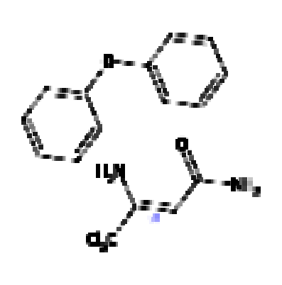 NC(=O)/C=C(\N)C(Cl)(Cl)Cl.[B](c1ccccc1)c1ccccc1